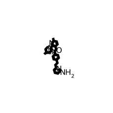 Cc1ccc(C(=O)Nc2ccc(CCc3cccc(N)n3)cc2)c(N2CCC(C)CC2)n1